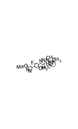 COc1cc(-c2cc(O)c(-c3ccc(N(C)[C@H]4C[C@]5(C)CCC[C@](C)(C4)N5)nn3)cc2F)cnn1